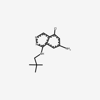 CC(C)(C)CNc1nncc2c(Cl)cc(N)cc12